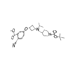 COC(=O)c1cc(O[C@H]2C[C@H](N(CC3CCN(C(=O)OC(C)(C)C)CC3)C(C)C)C2)ccc1C#N